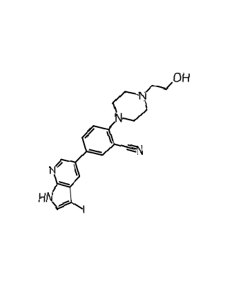 N#Cc1cc(-c2cnc3[nH]cc(I)c3c2)ccc1N1CCN(CCO)CC1